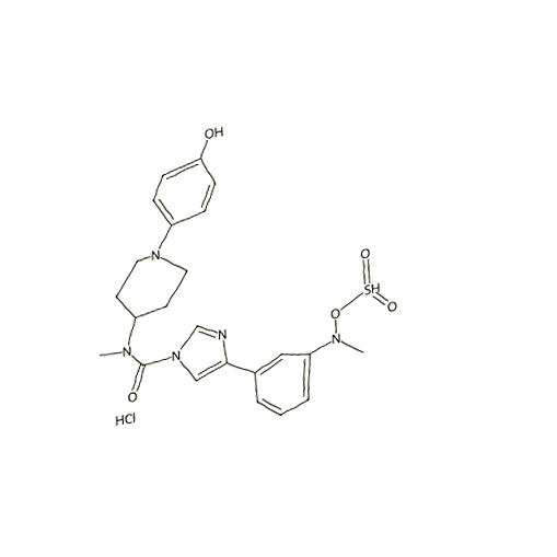 CN(O[SH](=O)=O)c1cccc(-c2cn(C(=O)N(C)C3CCN(c4ccc(O)cc4)CC3)cn2)c1.Cl